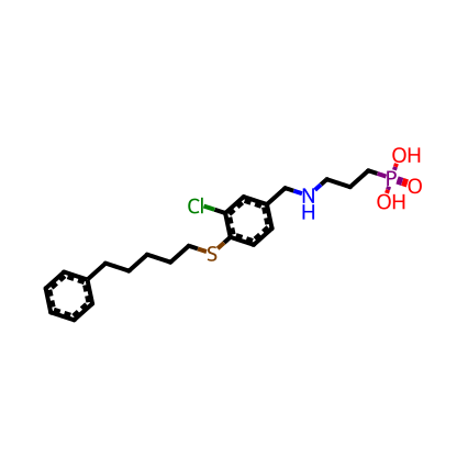 O=P(O)(O)CCCNCc1ccc(SCCCCCc2ccccc2)c(Cl)c1